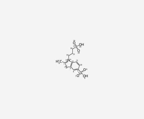 Cc1sc2cc(S(=O)(=O)O)ccc2[n+]1CCCS(=O)(=O)O